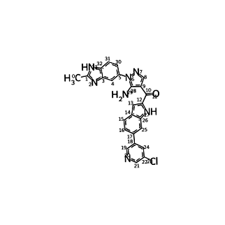 Cc1nc2cc(-n3ncc(C(=O)c4cc5ccc(-c6cncc(Cl)c6)cc5[nH]4)c3N)ccc2[nH]1